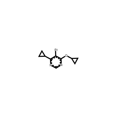 CCc1c(OC2CC2)ncnc1C1CC1